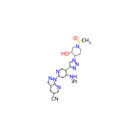 CC(C)Nc1cc(-n2ncc3cc(C#N)cnc32)ncc1-c1cn(C2CCN([S+](C)[O-])CC2O)nn1